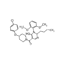 CCCCC1N=CC(C(=O)N2CCC(Oc3ccc(Cl)cc3)CC2)=C(O)N1c1c(OC)cccc1OC